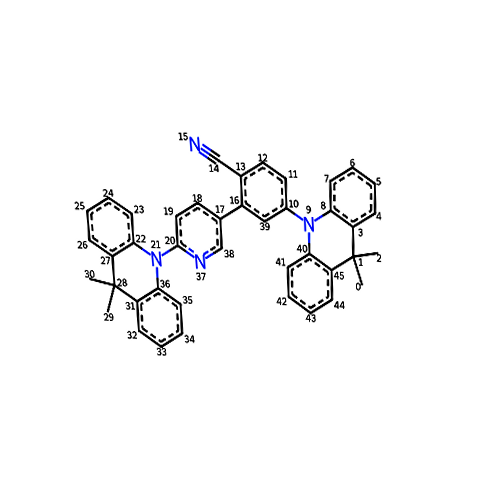 CC1(C)c2ccccc2N(c2ccc(C#N)c(-c3ccc(N4c5ccccc5C(C)(C)c5ccccc54)nc3)c2)c2ccccc21